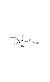 CCCCCCC(C)(CCCCCC)C(=O)COOC